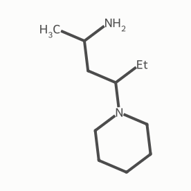 CCC(CC(C)N)N1CCCCC1